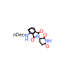 CCCCCCCCCCNc1cccc2c1C(=O)N(C1CCC(=O)NC1=O)C2=O